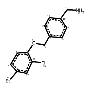 CCc1ccc(OCc2ccc(CN)cc2)c(Cl)c1